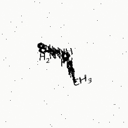 CCCN1CC2CN(c3ccc(Nc4nc(N)n(-c5cc6c(nn5)-c5ccccc5CCC6)n4)cc3F)CC2C1